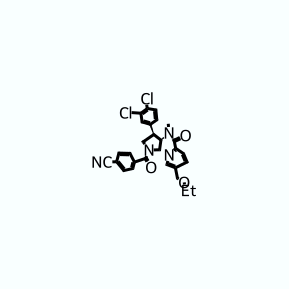 CCOCc1ccc(C(=O)N(C)[C@@H]2CN(C(=O)c3ccc(C#N)cc3)C[C@H]2c2ccc(Cl)c(Cl)c2)nc1